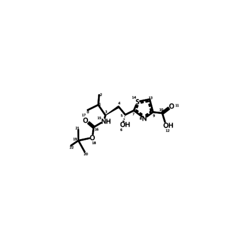 CC(C)[C@@H](C[C@@H](O)c1nc(C(=O)O)cs1)NC(=O)OC(C)(C)C